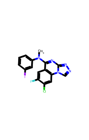 CN(c1cccc(I)c1)c1nc2nncn2c2cc(Cl)c(F)cc12